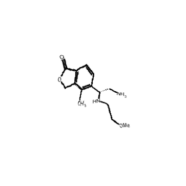 COCCN[C@@H](CN)c1ccc2c(c1C)COC2=O